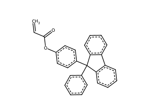 C=CC(=O)Oc1ccc(C2(c3ccccc3)c3ccccc3-c3ccccc32)cc1